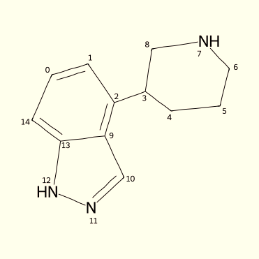 c1cc(C2CCCNC2)c2cn[nH]c2c1